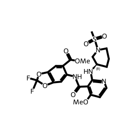 COC(=O)c1cc2c(cc1NC(=O)c1c(OC)ccnc1N[C@@H]1CCCN(S(C)(=O)=O)C1)OC(F)(F)O2